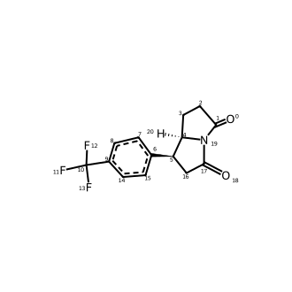 O=C1CC[C@@H]2[C@H](c3ccc(C(F)(F)F)cc3)CC(=O)N12